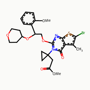 COC(=O)CC1(n2c(OCC(OC3CCOCC3)c3ccccc3OC)nc3sc(Br)c(C)c3c2=O)CC1